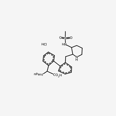 CCCCCC(C(=O)O)c1ccccc1-c1ccccc1CC1NCCCC1NS(C)(=O)=O.Cl